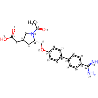 CC(=O)N1CC(CC(=O)O)C[C@H]1COc1ccc(-c2ccc(C(=N)N)cc2)cc1